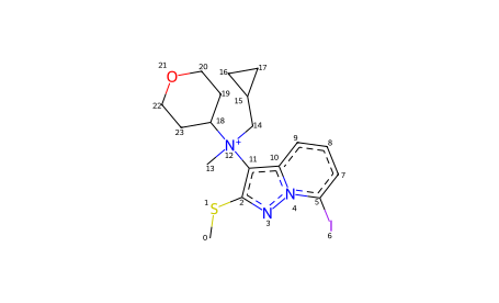 CSc1nn2c(I)cccc2c1[N+](C)(CC1CC1)C1CCOCC1